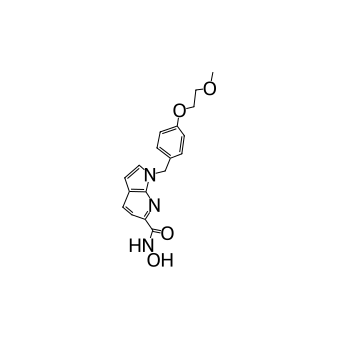 COCCOc1ccc(Cn2ccc3ccc(C(=O)NO)nc32)cc1